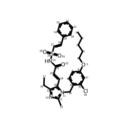 CCCCCOc1ccc(Cn2c(C)nc(CC)c2C=CC(=O)NS(=O)(=O)C=Cc2ccccc2)c(Cl)c1